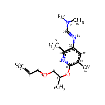 C=CCOCC(C)Oc1nc(C)c(/N=C/N(C)CC)cc1C#N